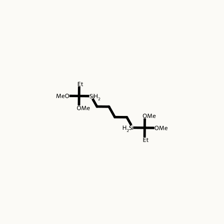 CCC(OC)(OC)[SiH2]CCCC[SiH2]C(CC)(OC)OC